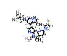 CC(c1ccc(-n2cc(F)cn2)nc1)N(C)c1ccc(-c2cc(N3CC(C)(C#N)C3)cn3ncc(C#N)c23)cn1